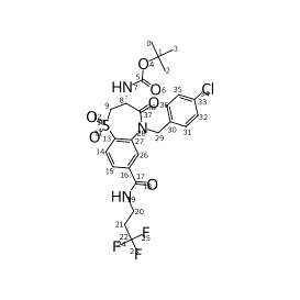 CC(C)(C)OC(=O)N[C@H]1CS(=O)(=O)c2ccc(C(=O)NCCC(F)(F)F)cc2N(Cc2ccc(Cl)cc2)C1=O